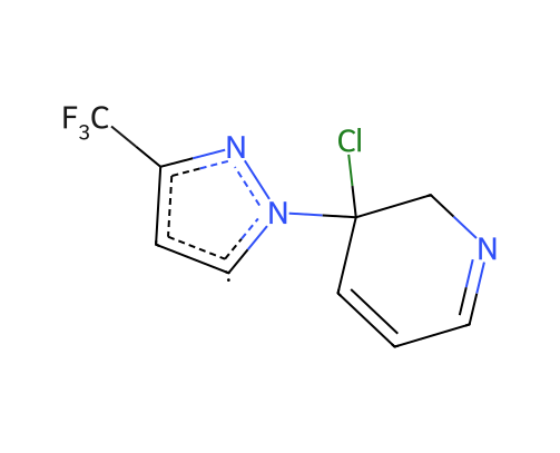 FC(F)(F)c1c[c]n(C2(Cl)C=CC=NC2)n1